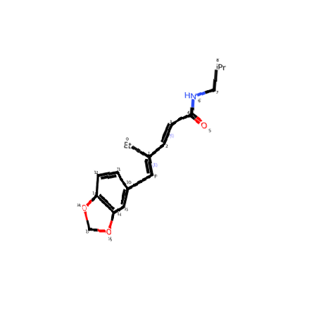 CCC(/C=C/C(=O)NCC(C)C)=C\c1ccc2c(c1)OCO2